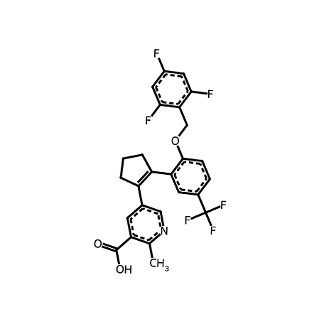 Cc1ncc(C2=C(c3cc(C(F)(F)F)ccc3OCc3c(F)cc(F)cc3F)CCC2)cc1C(=O)O